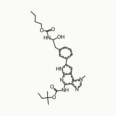 CCCCOC(=O)NC(O)Cc1cccc(-c2cc3c(nc(NC(=O)OC(C)(C)CC)c4ncn(C)c43)[nH]2)c1